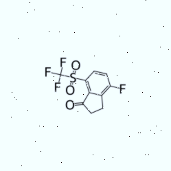 O=C1CCc2c(F)ccc(S(=O)(=O)C(F)(F)F)c21